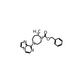 C[C@@H]1CCN(c2nccn3ccnc23)CCN1C(=O)OCc1ccccc1